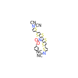 N#CC(C#N)=Nc1ccc(-c2cc3sc4c5sc6cc(-c7ccc(N=C(C#N)C#N)s7)sc6c5n(C(=O)OCc5ccccc5)c4c3s2)s1